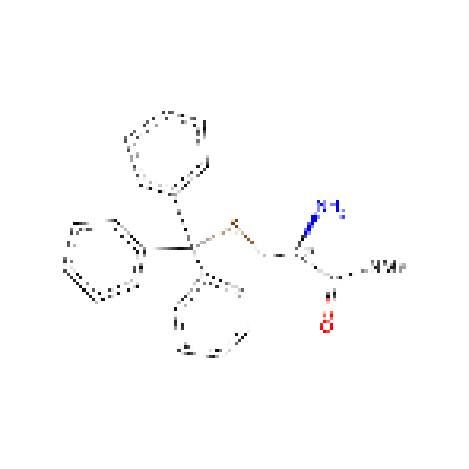 CNC(=O)[C@H](N)CSC(c1ccccc1)(c1ccccc1)c1ccccc1